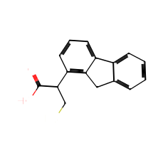 O=C(O)C(CS)c1cccc2c1Cc1ccccc1-2